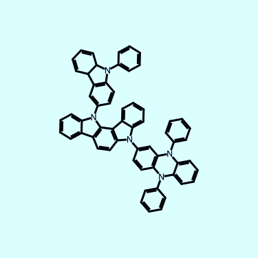 C1=CC2c3cc(-n4c5ccccc5c5ccc6c(c7ccccc7n6-c6ccc7c(c6)N(c6ccccc6)c6ccccc6N7c6ccccc6)c54)ccc3N(c3ccccc3)C2C=C1